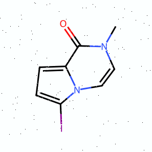 Cn1ccn2c(I)ccc2c1=O